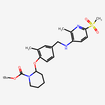 Cc1cc(CNc2ccc(S(C)(=O)=O)nc2C)ccc1OC1CCCCN1C(=O)OC(C)(C)C